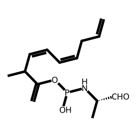 C=CC/C=C\C=C/C(C)C(=C)OP(O)N[C@@H](C)C=O